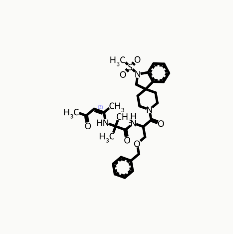 CC(=O)/C=C(/C)NC(C)(C)C(=O)NC(COCc1ccccc1)C(=O)N1CCC2(CC1)CN(S(C)(=O)=O)c1ccccc12